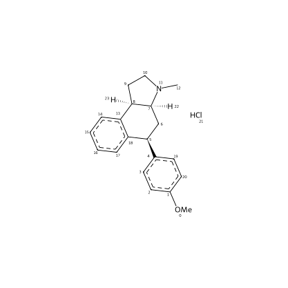 COc1ccc([C@@H]2C[C@H]3[C@H](CCN3C)c3ccccc32)cc1.Cl